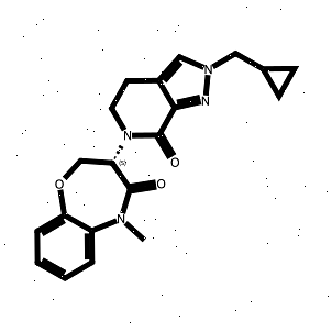 CN1C(=O)[C@@H](N2CCc3cn(CC4CC4)nc3C2=O)COc2ccccc21